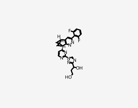 CC1(C)[C@H]2CC[C@@]1(c1ccnc(-n3cnc(C(O)CCO)n3)n1)c1nnc(-c3c(F)cccc3F)cc12